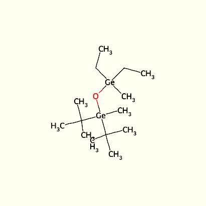 C[CH2][Ge]([CH3])([CH2]C)[O][Ge]([CH3])([C](C)(C)C)[C](C)(C)C